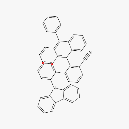 N#Cc1cccc(-c2ccccc2-n2c3ccccc3c3ccccc32)c1-c1c2ccccc2c(-c2ccccc2)c2ccccc12